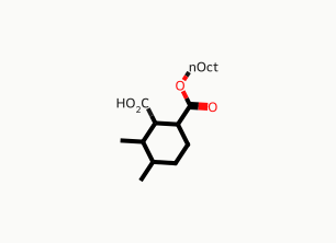 CCCCCCCCOC(=O)C1CCC(C)C(C)C1C(=O)O